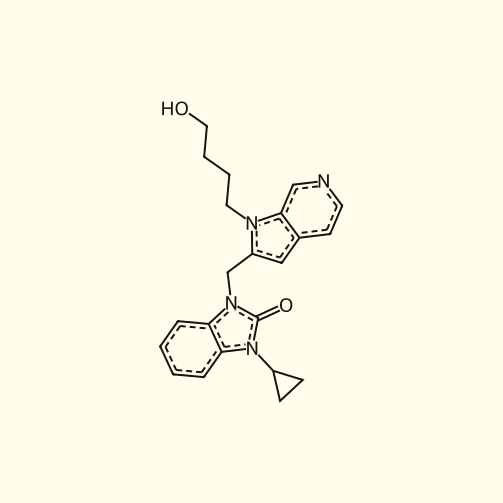 O=c1n(Cc2cc3ccncc3n2CCCCO)c2ccccc2n1C1CC1